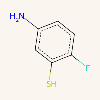 Nc1ccc(F)c(S)c1